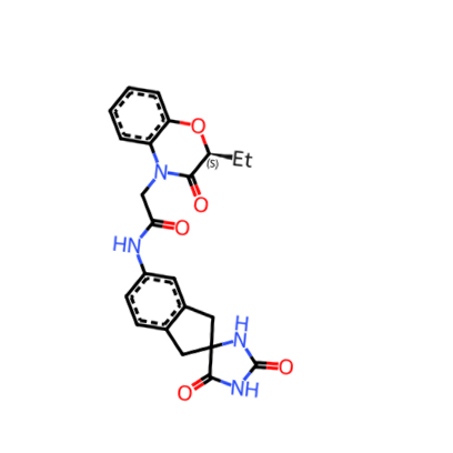 CC[C@@H]1Oc2ccccc2N(CC(=O)Nc2ccc3c(c2)CC2(C3)NC(=O)NC2=O)C1=O